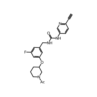 C#Cc1ccc(NC(=O)NCc2cc(F)cc(OC3CCCN(C(C)=O)C3)c2)cn1